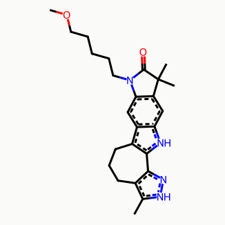 COCCCCCN1C(=O)C(C)(C)c2cc3[nH]c4c(c3cc21)CCCc1c-4n[nH]c1C